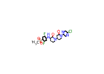 CS(=O)(=O)c1cc(F)c(NC2CCCN(C3CCN(c4cnc(Cl)cn4)C(=O)C3)C2=O)cc1F